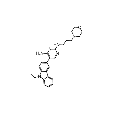 CCn1c2ccccc2c2cc(-c3cnc(NCCCN4CCOCC4)nc3N)ccc21